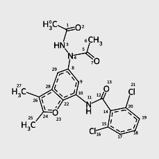 CC(=O)NN(C(C)=O)c1cc(NC(=O)c2c(Cl)cccc2Cl)c2oc(C)c(C)c2c1